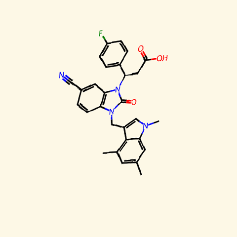 Cc1cc(C)c2c(Cn3c(=O)n([C@H](CC(=O)O)c4ccc(F)cc4)c4cc(C#N)ccc43)cn(C)c2c1